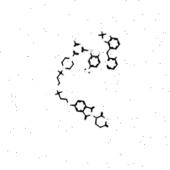 COc1nc(Nc2cc(S(C)(=O)=O)ccc2N[C@@H](c2cccc3c2OC(F)(F)O3)c2ncccc2Cl)nc(N2CCN(C(C)(C)CCOC(C)(C)CCNc3ccc4c(c3)C(=O)N(C3CCC(=O)NC3=O)C4=O)CC2)n1